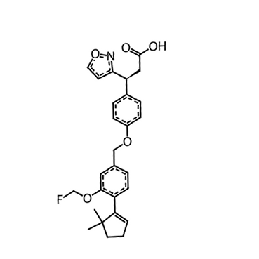 CC1(C)CCC=C1c1ccc(COc2ccc([C@H](CC(=O)O)c3ccon3)cc2)cc1OCF